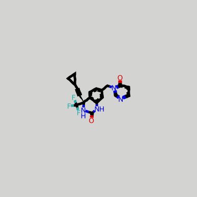 O=C1Nc2cc(Cn3cnccc3=O)ccc2[C@@](C#CC2CC2)(C(F)(F)F)N1